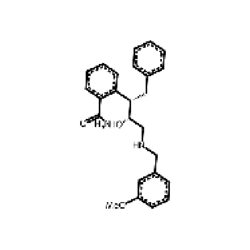 COc1cccc(CNC[C@H](O)[C@@H](Cc2ccccc2)c2ccccc2C(N)=O)c1